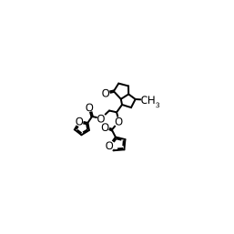 CC1CC(C(COC(=O)c2ccco2)OC(=O)c2ccco2)C2C(=O)CCC12